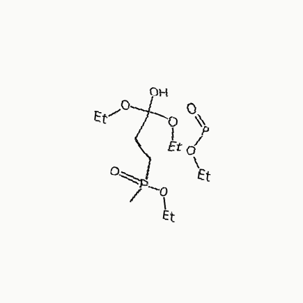 CCOC(O)(CCP(C)(=O)OCC)OCC.CCOP=O